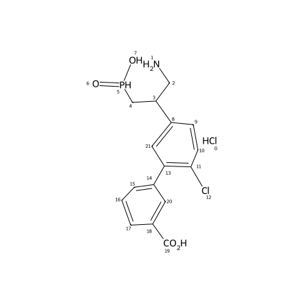 Cl.NCC(C[PH](=O)O)c1ccc(Cl)c(-c2cccc(C(=O)O)c2)c1